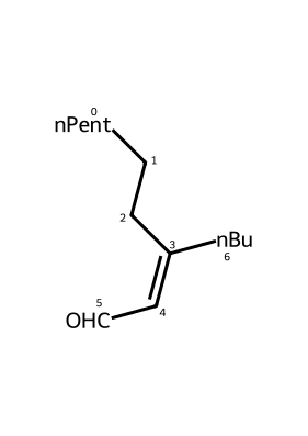 CCCCCCC/C(=C\C=O)CCCC